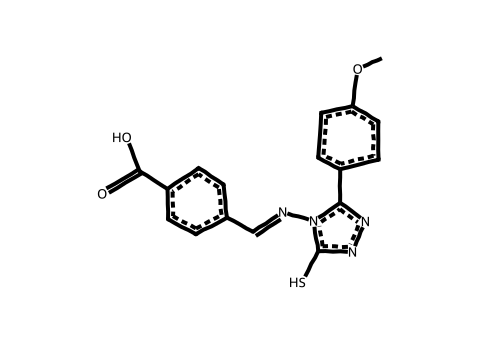 COc1ccc(-c2nnc(S)n2N=Cc2ccc(C(=O)O)cc2)cc1